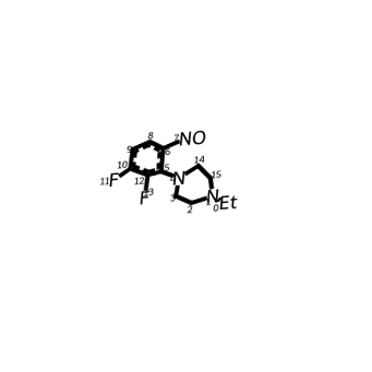 CCN1CCN(c2c(N=O)ccc(F)c2F)CC1